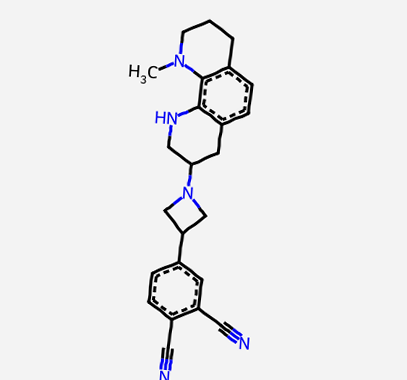 CN1CCCc2ccc3c(c21)NCC(N1CC(c2ccc(C#N)c(C#N)c2)C1)C3